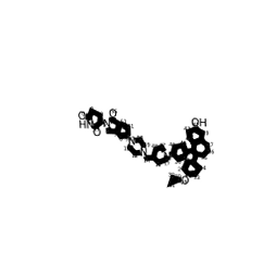 O=C1CC[C@H](N2Cc3cc(N4CCN(CC5CCN(c6ccc(C7=C(c8ccc(OC9CC9)cc8)CCCc8cc(O)ccc87)cc6)CC5)CC4)ccc3C2=O)C(=O)N1